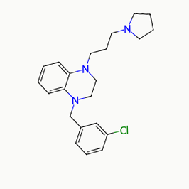 Clc1cccc(CN2CCN(CCCN3CCCC3)c3ccccc32)c1